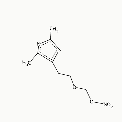 Cc1nc(C)c(CCOCO[N+](=O)[O-])s1